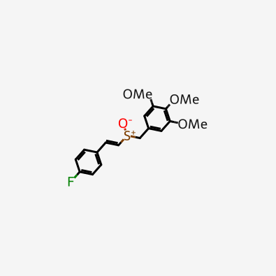 COc1cc(C[S+]([O-])/C=C/c2ccc(F)cc2)cc(OC)c1OC